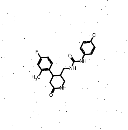 Cc1cc(F)ccc1C1CC(=O)NCC1CNC(=O)Nc1ccc(Cl)cc1